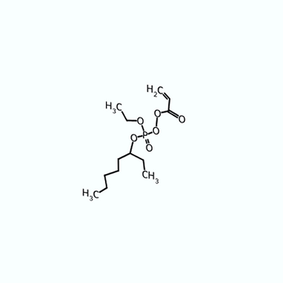 C=CC(=O)OOP(=O)(OCC)OC(CC)CCCCC